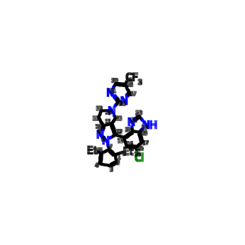 CCc1cccc(CC)c1-n1nc2c(c1-c1cc(Cl)cc3[nH]cnc13)CN(c1ncc(C(F)(F)F)cn1)CC2